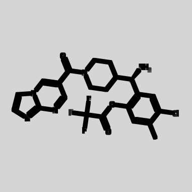 Cc1cc(OC(=O)C(F)(F)F)c([C@H](N)C2CCN(C(=O)c3cnc4nccn4c3)CC2)cc1Cl